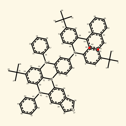 CC(C)(C)c1ccc(N(c2ccc3c(c2)N(c2ccccc2)c2cc(C(C)(C)C)cc4c2B3c2cc3cocc3cc2N4c2ccccc2)c2ccc(C(C)(C)C)cc2-c2cccc3ccccc23)cc1